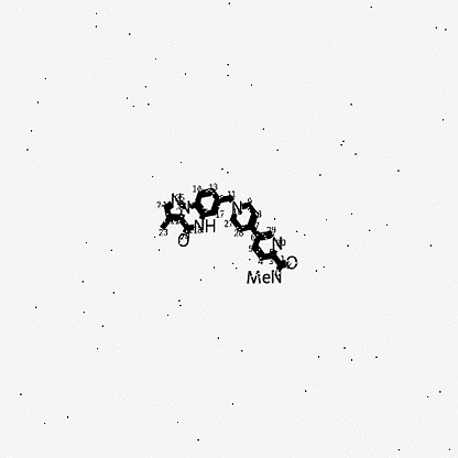 CNC(=O)c1ccc(C2=CCN(Cc3ccc4c(c3)[nH]c(=O)c3c(C)cnn34)CC2)cn1